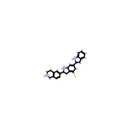 FC1=C2CC(c3ccc4c(c3)CCNC4)NC2C=C(C2Cc3ccccc3N2)C1